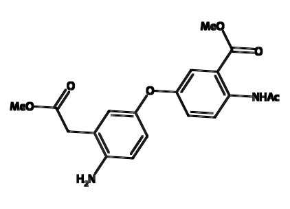 COC(=O)Cc1cc(Oc2ccc(NC(C)=O)c(C(=O)OC)c2)ccc1N